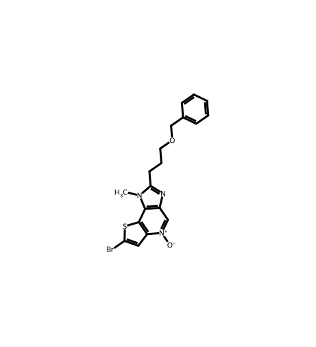 Cn1c(CCCOCc2ccccc2)nc2c[n+]([O-])c3cc(Br)sc3c21